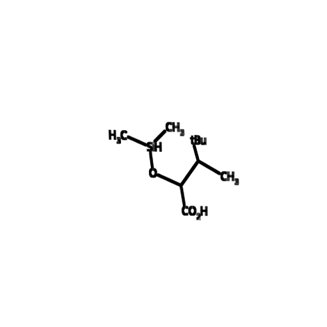 CC(C(O[SiH](C)C)C(=O)O)C(C)(C)C